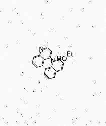 CCO.c1ccc2ncccc2c1.c1ccc2ncccc2c1